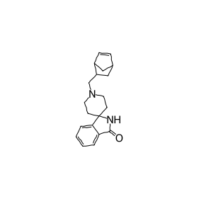 O=C1NC2(CCN(CC3CC4C=CC3C4)CC2)c2ccccc21